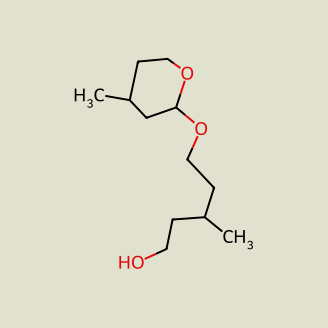 CC(CCO)CCOC1CC(C)CCO1